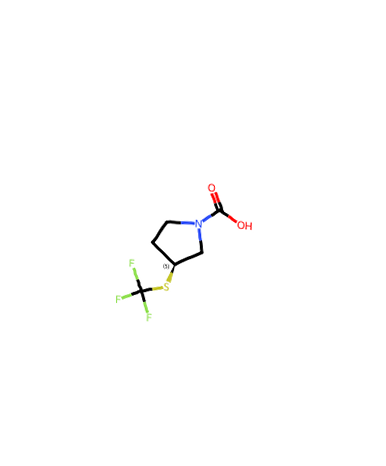 O=C(O)N1CC[C@H](SC(F)(F)F)C1